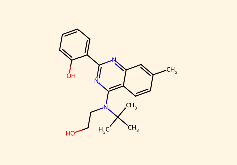 Cc1ccc2c(N(CCO)C(C)(C)C)nc(-c3ccccc3O)nc2c1